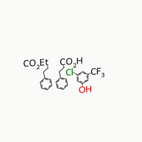 CCOC(=O)CCc1ccccc1.O=C(O)CCc1ccccc1.Oc1cc(Cl)cc(C(F)(F)F)c1